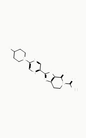 O=C(O)N1CCc2nc(-c3cnc(N4CCC(F)CC4)cn3)sc2C1=O